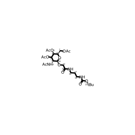 CC(=O)N[C@@H]1C(OC(C)=O)[C@@H](OC(C)=O)[C@@H](COC(C)=O)O[C@H]1OCC(=O)NCCCNC(=O)OC(C)(C)C